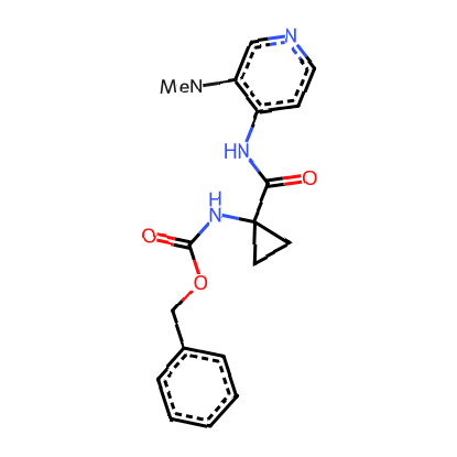 CNc1cnccc1NC(=O)C1(NC(=O)OCc2ccccc2)CC1